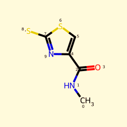 CNC(=O)c1csc([S])n1